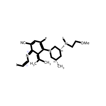 COCCN(I)[C@@H]1C[C@H](C)CN(C2=C(F)C=C(C#N)/C(=N/C=C\I)C2=C(C)C)C1